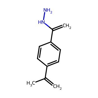 C=C(C)c1ccc(C(=C)NN)cc1